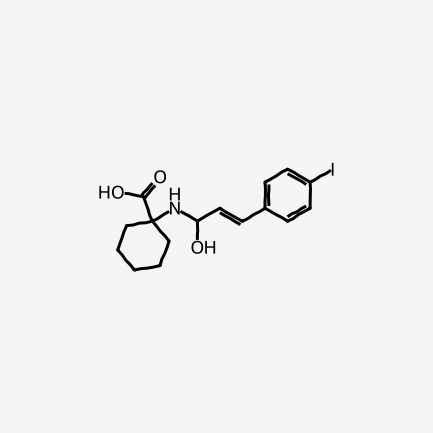 O=C(O)C1(NC(O)C=Cc2ccc(I)cc2)CCCCC1